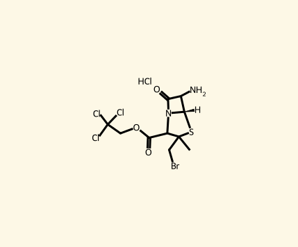 CC1(CBr)S[C@H]2C(N)C(=O)N2C1C(=O)OCC(Cl)(Cl)Cl.Cl